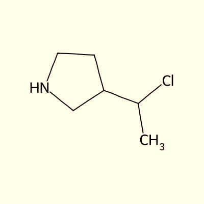 CC(Cl)C1CCNC1